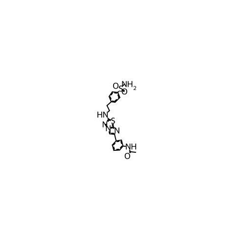 CC(=O)Nc1cccc(-c2cn3nc(NCCc4ccc(S(N)(=O)=O)cc4)sc3n2)c1